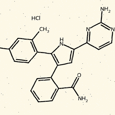 Cc1cc(F)ccc1-c1[nH]c(-c2ccnc(N)n2)cc1-c1ccccc1C(N)=O.Cl